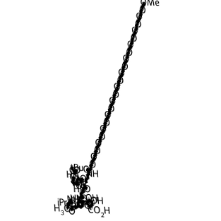 COCCOCCOCCOCCOCCOCCOCCOCCOCCOCCOCCOCCOCCOCCOCCOCCOCCOCCOCCOCCOCCOCCOCCOCCC(=O)NCCCC[C@H](NC(=O)[C@H](CNC(=O)OC(C)(C)C)N1C(=O)C=CC1=O)C(=O)NCCC(=O)Nc1cc(COC(=O)N(C)[C@H](C(N)=O)C(C)C)ccc1O[C@@H]1O[C@H](C(=O)O)C[C@H](O)[C@H]1O